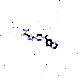 CC(c1ccc2nccnc2c1)N1CCN(c2nnc(C(=O)N(C)C)s2)CC1